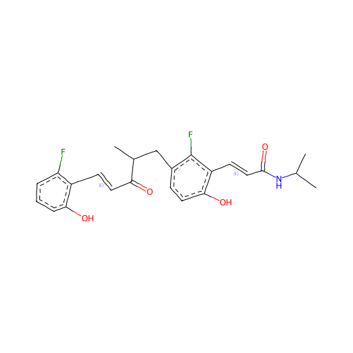 CC(C)NC(=O)/C=C/c1c(O)ccc(CC(C)C(=O)/C=C/c2c(O)cccc2F)c1F